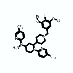 CCOc1cc(CN2CCC(C3CC(N(N)c4ccc(C(F)(F)F)cn4)CCN3c3ccc(C(F)(F)F)cn3)CC2)cc(OCC)c1I